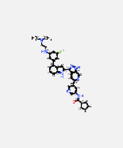 CN(C)CCNc1cc(F)cc(-c2cccc3[nH]c(-c4n[nH]c5cnc(-c6cncc(NC(=O)C7CCCC7)c6)cc45)cc23)c1